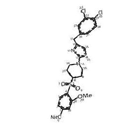 COc1ccc(S(=O)(=O)C2CCN(c3nc(Cc4ccc(Cl)c(Cl)c4)cs3)CC2)c(OC)c1